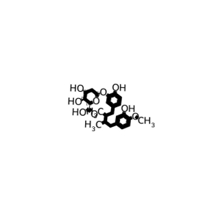 COc1ccc(CC(C)C(C)Cc2ccc(O)c(O[C@H]3C[C@@H](O)[C@H](O)[C@@H](C(=O)O)O3)c2)cc1O